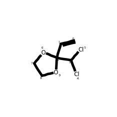 C=CC1(C(Cl)Cl)OCCO1